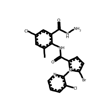 Cc1cc(Cl)cc(C(=O)NN)c1NC(=O)c1ccc(Br)n1-c1ncccc1Cl